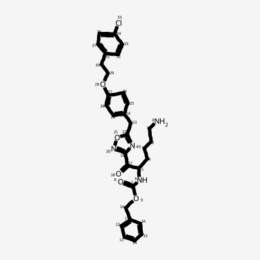 NCCCCC(NC(=O)OCc1ccccc1)C(=O)c1noc(Cc2ccc(OCCc3ccc(Cl)cc3)cc2)n1